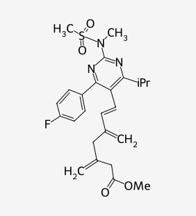 C=C(/C=C/c1c(-c2ccc(F)cc2)nc(N(C)S(C)(=O)=O)nc1C(C)C)CC(=C)CC(=O)OC